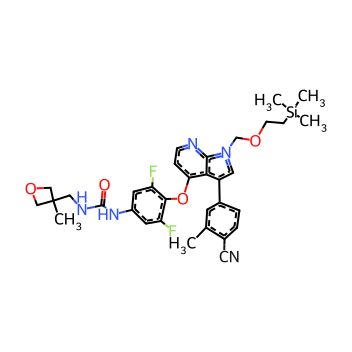 Cc1cc(-c2cn(COCC[Si](C)(C)C)c3nccc(Oc4c(F)cc(NC(=O)NCC5(C)COC5)cc4F)c23)ccc1C#N